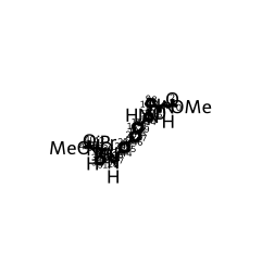 COC(=O)NCC(=O)N1CCC[C@H]1c1ncc(-c2ccc3cc(-c4ccc(-c5c[nH]c([C@@H]6CCCN6C(=O)[C@@H](NC(=O)OC)C(C)C)n5)cc4)ccc3c2)[nH]1